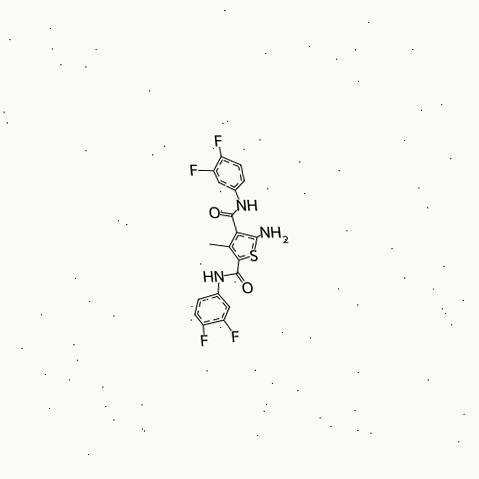 Cc1c(C(=O)Nc2ccc(F)c(F)c2)sc(N)c1C(=O)Nc1ccc(F)c(F)c1